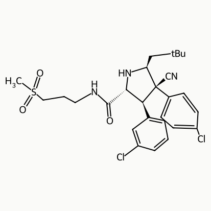 CC(C)(C)C[C@@H]1N[C@@H](C(=O)NCCCS(C)(=O)=O)[C@H](c2cccc(Cl)c2)[C@@]1(C#N)c1ccc(Cl)cc1